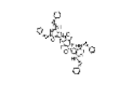 O=C(N[C@H]1C[C@@H]1c1ccccc1)[C@@H]1CN(C(=O)c2c(F)c(F)c(C(=O)N3C[C@@H](C(=O)N[C@H]4C[C@@H]4c4ccccc4)[C@H](C(=O)N[C@H]4C[C@@H]4c4ccccc4)C3)c(F)c2F)C[C@H]1C(=O)N[C@H]1C[C@@H]1c1ccccc1